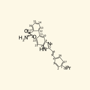 CC(C)c1ccc(C=Cc2nc3cc(-c4ccccc4S(N)(=O)=O)ccc3[nH]2)cc1